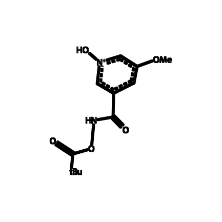 COc1cc(C(=O)NOC(=O)C(C)(C)C)c[n+](O)c1